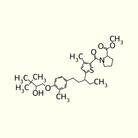 CCC(CCc1ccc(OCC(O)C(C)(C)C)c(C)c1)c1cc(C)c(C(=O)N2CCCC2C(=O)OC)s1